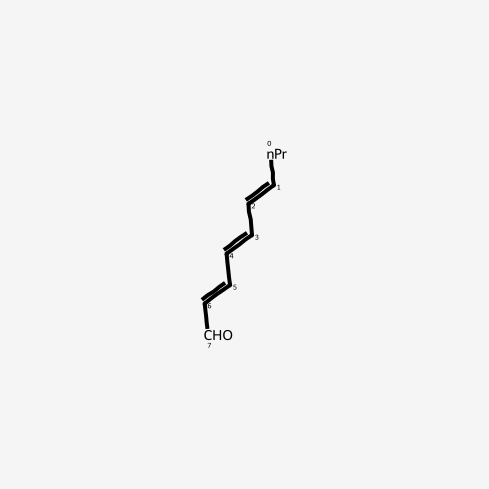 CCCC=CC=CC=CC=O